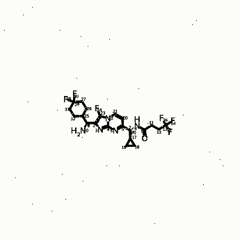 N[C@H](c1nc2nc([C@H](NC(=O)CCC(F)(F)F)C3CC3)ccn2c1F)C1CCC(F)(F)CC1